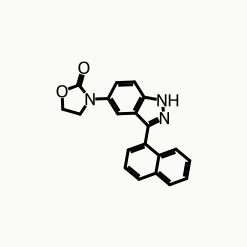 O=C1OCCN1c1ccc2[nH]nc(-c3cccc4ccccc34)c2c1